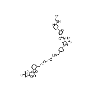 O=C1CCC(n2c(=O)oc3c(CCCOCCOCCNCc4ccc(-n5cc(NC(=O)c6coc(-c7ccnc(NCC8CC8)c7)n6)c(C(F)F)n5)cc4)cccc32)C(=O)N1